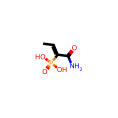 CC=C(C(N)=O)P(=O)(O)O